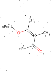 CCCCCO/C(C)=C(/C)C(=O)CCC